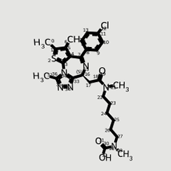 Cc1sc2c(c1C)C(c1ccc(Cl)cc1)=N[C@@H](CC(=O)N(C)CCCCCCN(C)C(=O)O)c1nnc(C)n1-2